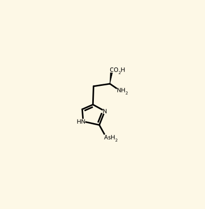 N[C@@H](Cc1c[nH]c([AsH2])n1)C(=O)O